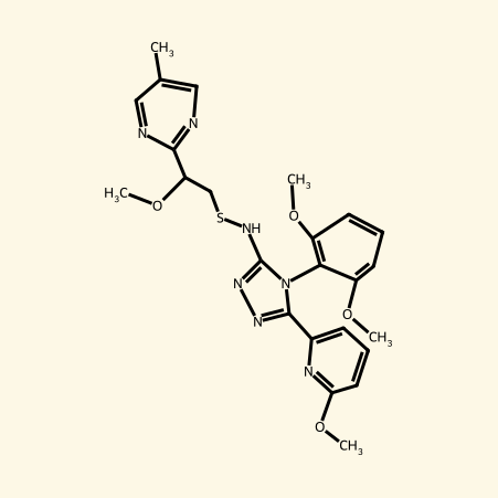 COc1cccc(-c2nnc(NSCC(OC)c3ncc(C)cn3)n2-c2c(OC)cccc2OC)n1